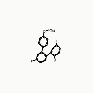 CCCCCCCCOc1ccc(-c2cc(F)ccc2-c2cc(F)ccc2F)cc1